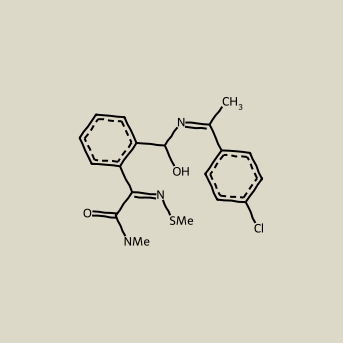 CNC(=O)C(=NSC)c1ccccc1C(O)N=C(C)c1ccc(Cl)cc1